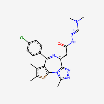 Cc1sc2c(c1C)C(c1ccc(Cl)cc1)=N[C@@H](CC(=O)N/N=C/N(C)C)c1nnc(C)n1-2